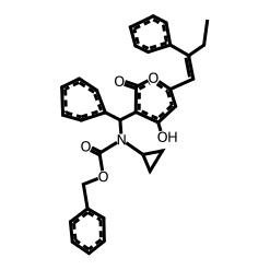 CCC(=Cc1cc(O)c(C(c2ccccc2)N(C(=O)OCc2ccccc2)C2CC2)c(=O)o1)c1ccccc1